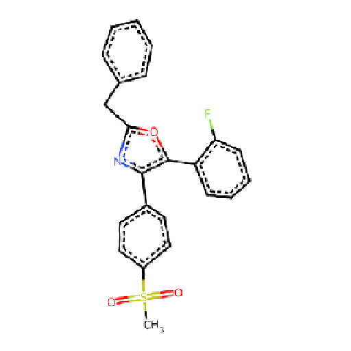 CS(=O)(=O)c1ccc(-c2nc(Cc3ccccc3)oc2-c2ccccc2F)cc1